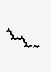 CCCOCCC(C)CCCC(C)CCCC(C)CCCC(C)C